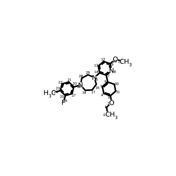 CCOC1=CC=C(c2nc(OC)ccc2N2CCCN(c3ccc(C)c(F)c3)CC2)CC1